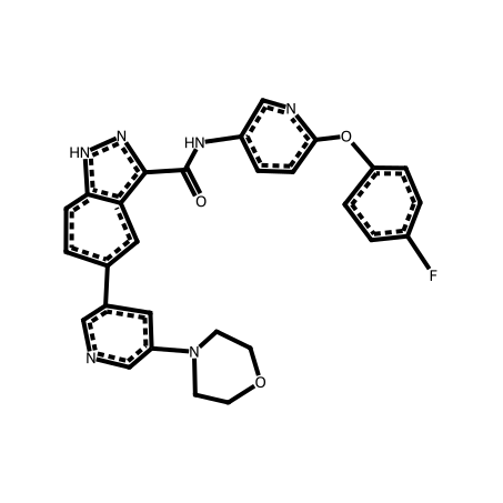 O=C(Nc1ccc(Oc2ccc(F)cc2)nc1)c1n[nH]c2ccc(-c3cncc(N4CCOCC4)c3)cc12